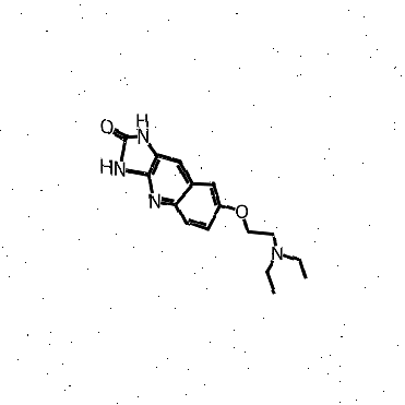 CCN(CC)CCOc1ccc2nc3[nH]c(=O)[nH]c3cc2c1